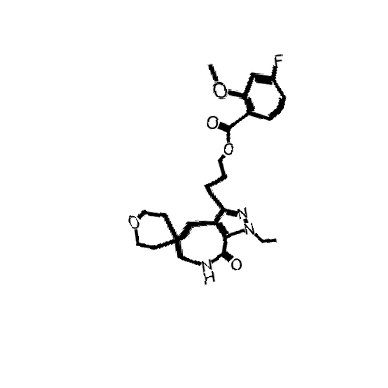 CCn1nc(CCCOC(=O)c2ccc(F)cc2OC)c2c1C(=O)NCC1(CCOCC1)C2